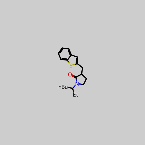 CCCCC(CC)N1CCC(Cc2cc3ccccc3s2)C1=O